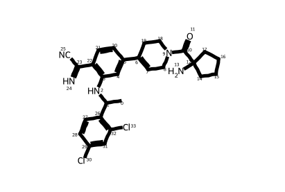 CC(Nc1cc(C2=CCN(C(=O)C3(N)CCCC3)CC2)ccc1C(=N)C#N)c1ccc(Cl)cc1Cl